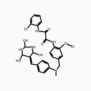 CCOc1cc(CN(C)c2ccc(C=C3C(O)NC(O)NC3O)cc2)ccc1NC(=O)C(=O)Nc1ccccc1CC